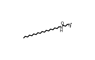 CCCCCCCCCCCCCCCCCCNC(=O)CCN(C)C